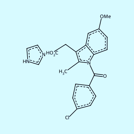 COc1ccc2c(c1)c(CC(=O)O)c(C)n2C(=O)c1ccc(Cl)cc1.c1c[nH]cn1